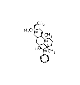 C=C[C@]1(C)CC=C2C(CCC3[C@@](C)([C@H](O)c4ccccc4)CCC[C@]23C)C1